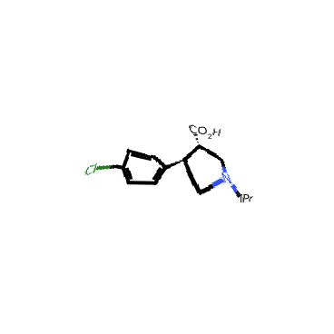 CC(C)N1C[C@@H](C(=O)O)[C@H](c2ccc(Cl)cc2)C1